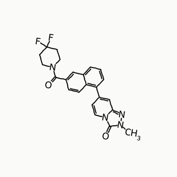 Cn1nc2cc(-c3cccc4cc(C(=O)N5CCC(F)(F)CC5)ccc34)ccn2c1=O